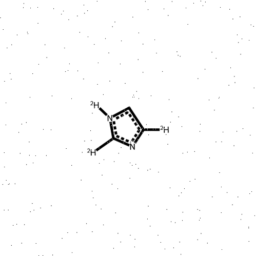 [2H]c1cn([2H])c([2H])n1